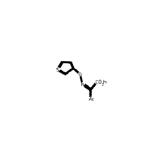 CC(=O)C(=NOC1CCSC1)C(=O)O